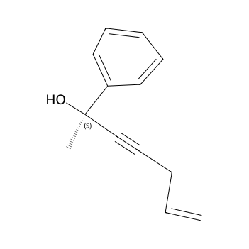 C=CCC#C[C@@](C)(O)c1ccccc1